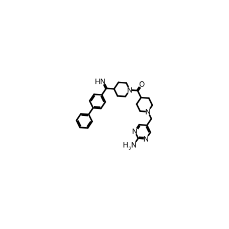 N=C(c1ccc(-c2ccccc2)cc1)C1CCN(C(=O)C2CCN(Cc3cnc(N)nc3)CC2)CC1